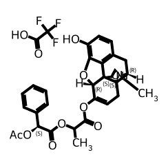 CC(=O)O[C@H](C(=O)OC(C)C(=O)OC1=CC[C@@]2(O)[C@H]3Cc4ccc(O)c5c4[C@@]2(CCN3C)[C@H]1O5)c1ccccc1.O=C(O)C(F)(F)F